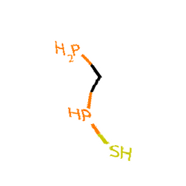 PCPS